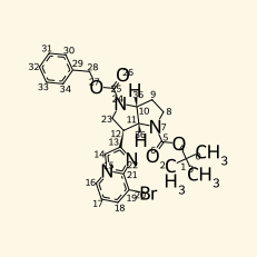 CC(C)(C)OC(=O)N1CC[C@@H]2[C@H]1[C@@H](c1cn3cccc(Br)c3n1)CN2C(=O)OCc1ccccc1